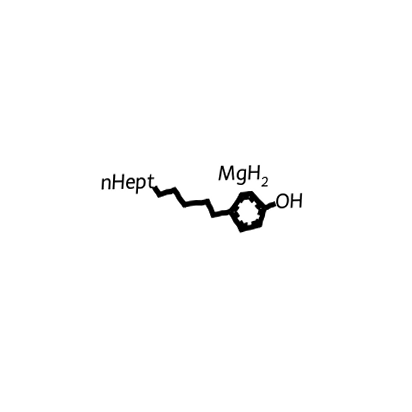 CCCCCCCCCCCCc1ccc(O)cc1.[MgH2]